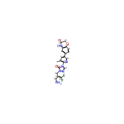 Cc1cc(-c2ccc3c(c2)NC(=O)CO3)cnc1-n1cnn(CC(CN)=C(F)F)c1=O